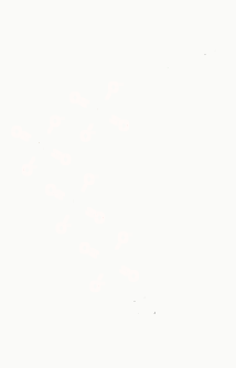 O=S(=O)([O-])[O-].O=S(=O)([O-])[O-].O=S(=O)([O-])[O-].O=S(=O)([O-])[O-].[Cl-].[Cl-].[Cl-].[Cl-].[Sn+4].[Sn+4].[Sn+4]